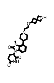 Cn1c(=O)n(C2CCC(=O)NC2=O)c2cccc(C3CCN(CCOC4CC5(CNC5)C4)CC3)c21